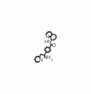 NC(Cc1ccccn1)c1ccc(C(=O)NC2CCCc3cccnc32)cc1